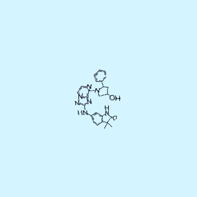 CC1(C)C(=O)Nc2cc(Nc3nc4c(N5CC(O)CC5c5ccccc5)nccn4n3)ccc21